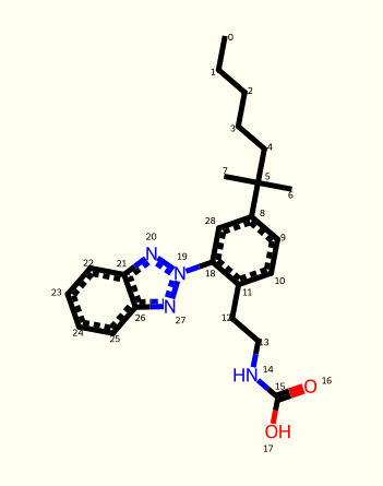 CCCCCC(C)(C)c1ccc(CCNC(=O)O)c(-n2nc3ccccc3n2)c1